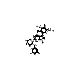 Cn1nc(-c2cc(C(F)(F)F)c(F)c(O)c2F)c2cnc(N3CCOC[C@H]3Cc3cccc(F)c3)nc21